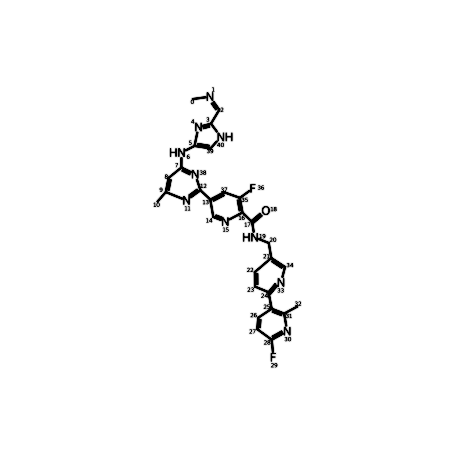 C/N=C\c1nc(Nc2cc(C)nc(-c3cnc(C(=O)NCc4ccc(-c5ccc(F)nc5C)nc4)c(F)c3)n2)c[nH]1